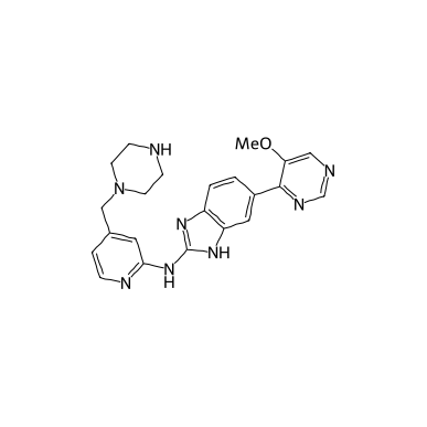 COc1cncnc1-c1ccc2nc(Nc3cc(CN4CCNCC4)ccn3)[nH]c2c1